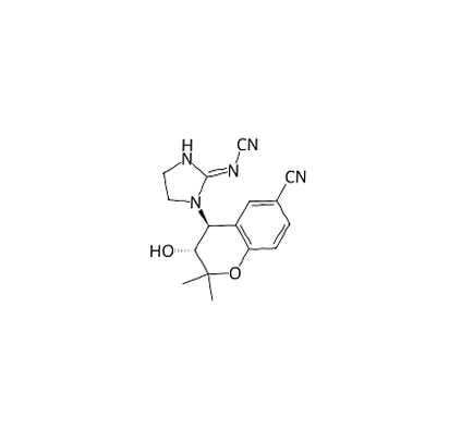 CC1(C)Oc2ccc(C#N)cc2[C@H](N2CCN/C2=N\C#N)[C@H]1O